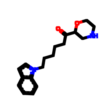 O=C(CCCCCn1ccc2ccccc21)C1CNCCO1